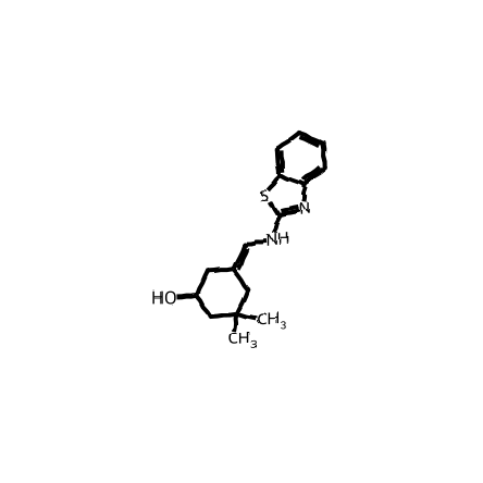 CC1(C)C/C(=C\Nc2nc3ccccc3s2)CC(O)C1